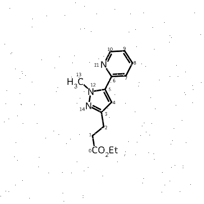 CCOC(=O)CCc1cc(-c2ccccn2)n(C)n1